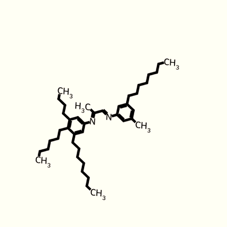 CCCCCCCCc1cc(C)cc(N=CC(C)=Nc2cc(CCCC)c(CCCCCC)c(CCCCCCCC)c2)c1